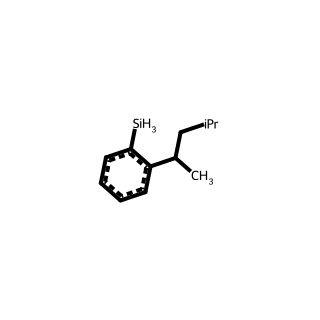 CC(C)CC(C)c1ccccc1[SiH3]